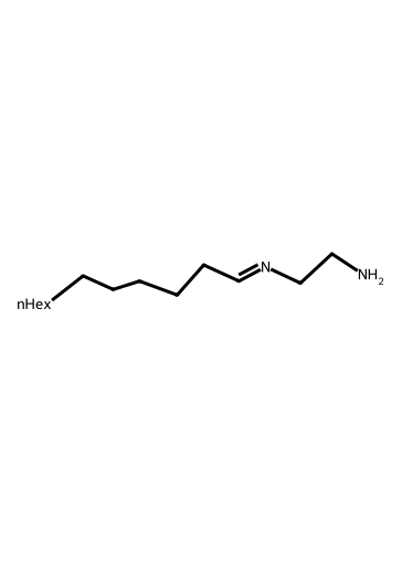 CCCCCCCCCCCC=NCCN